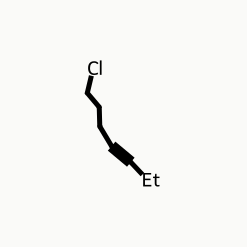 CCC#CCCCCl